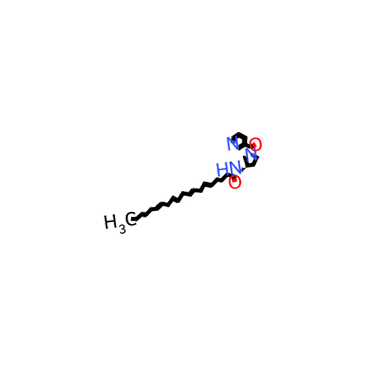 CCC=CCC=CCC=CCC=CCC=CCCCC(=O)NC[C@H]1CCN(C(=O)c2cccnc2)C1